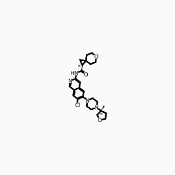 C[C@@]1(N2CCN(c3cc4cc(NC(=O)[C@H]5CC56CCOCC6)ncc4cc3Cl)CC2)CCOC1